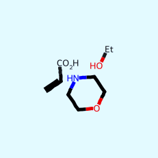 C1COCCN1.C=CC(=O)O.CCO